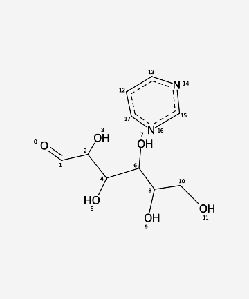 O=CC(O)C(O)C(O)C(O)CO.c1cncnc1